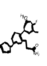 Cc1cc(-c2ccc(-c3ccccc3)cc2CCC(N)=O)cc(O)c1F